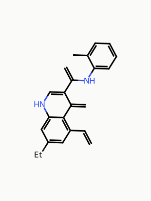 C=Cc1cc(CC)cc2c1C(=C)C(C(=C)Nc1ccccc1C)=CN2